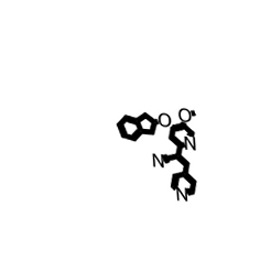 COc1cnc(/C(C#N)=C/c2ccncc2)cc1OC1Cc2ccccc2C1